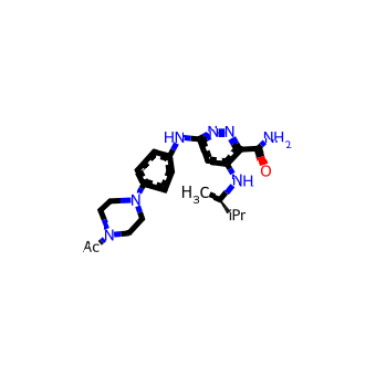 CC(=O)N1CCN(c2ccc(Nc3cc(N[C@H](C)C(C)C)c(C(N)=O)nn3)cc2)CC1